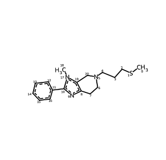 CSCCCN1CCc2nc(-c3ccccc3)n(C)c2C1